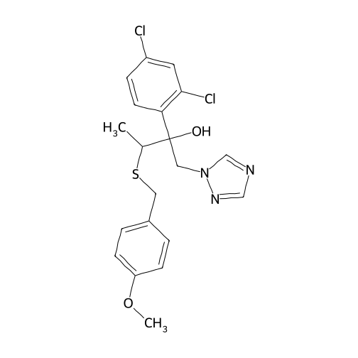 COc1ccc(CSC(C)C(O)(Cn2cncn2)c2ccc(Cl)cc2Cl)cc1